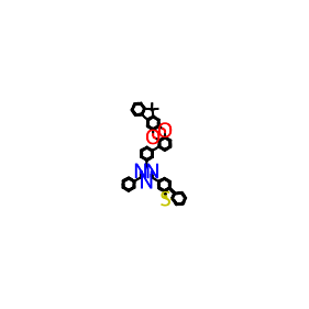 CC1(C)c2ccccc2-c2cc3c(cc21)Oc1cccc(-c2cccc(-c4nc(-c5ccccc5)nc(-c5ccc6c(c5)sc5ccccc56)n4)c2)c1O3